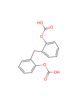 O=C(O)Oc1ccccc1Cc1ccccc1OC(=O)O